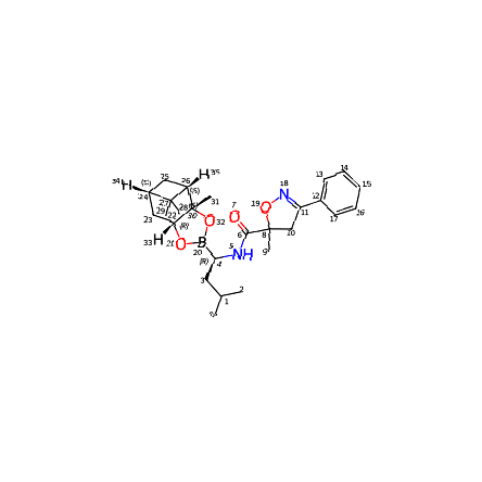 CC(C)C[C@H](NC(=O)C1(C)CC(c2ccccc2)=NO1)B1O[C@@H]2C[C@@H]3C[C@@H](C3(C)C)[C@]2(C)O1